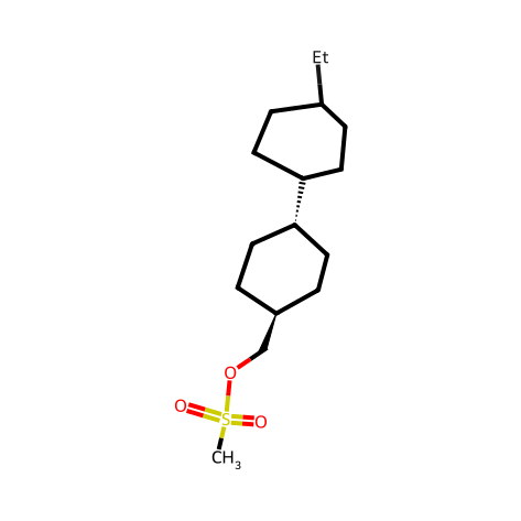 CCC1CCC([C@H]2CC[C@H](COS(C)(=O)=O)CC2)CC1